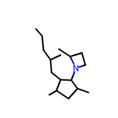 CCCC(C)CC1C(C)CC(C)C1N1CCC1C